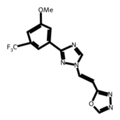 COc1cc(-c2ncn(/C=C/c3nnco3)n2)cc(C(F)(F)F)c1